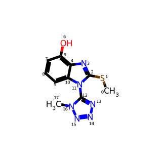 CSc1nc2c(O)cccc2n1-c1nnnn1C